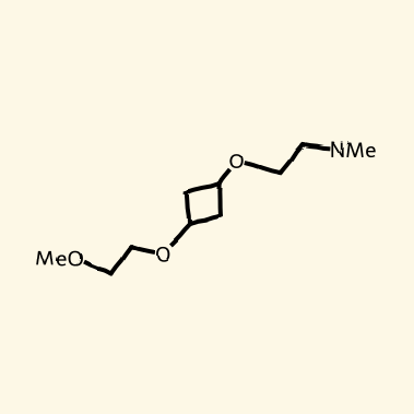 CNCCOC1CC(OCCOC)C1